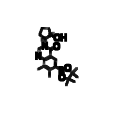 Cc1c(B2OC(C)(C)C(C)(C)O2)cc2c(=O)n([C@@H]3CCC[C@H]3O)cnc2c1C